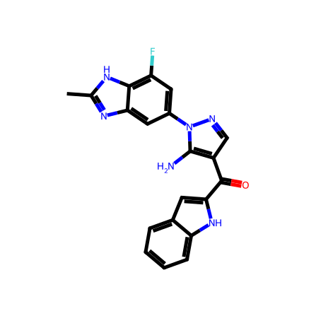 Cc1nc2cc(-n3ncc(C(=O)c4cc5ccccc5[nH]4)c3N)cc(F)c2[nH]1